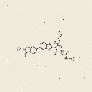 CCOCCS(=O)(=O)C(C(=O)NCC(=O)NC1CC1)c1nc2ccc(-c3ccc4c(c3)CN(C3CC3)C4=O)cc2s1